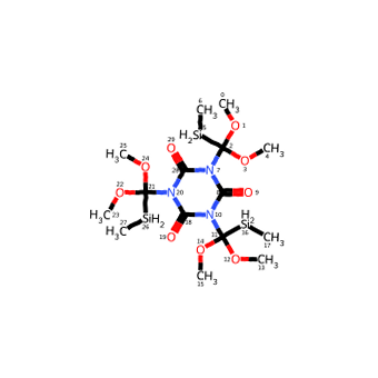 COC(OC)([SiH2]C)n1c(=O)n(C(OC)(OC)[SiH2]C)c(=O)n(C(OC)(OC)[SiH2]C)c1=O